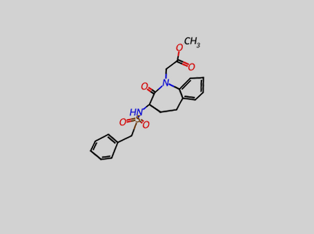 COC(=O)CN1C(=O)C(NS(=O)(=O)Cc2ccccc2)CCc2ccccc21